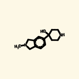 CN1Cc2ccc(C3(O)CCNCC3)cc2C1